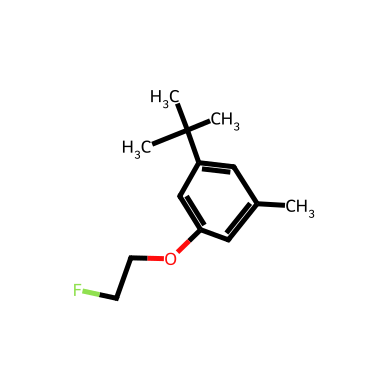 Cc1cc(OCCF)cc(C(C)(C)C)c1